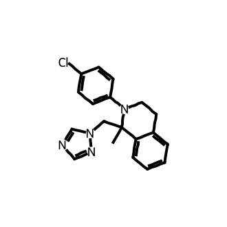 CC1(Cn2cncn2)c2ccccc2CCN1c1ccc(Cl)cc1